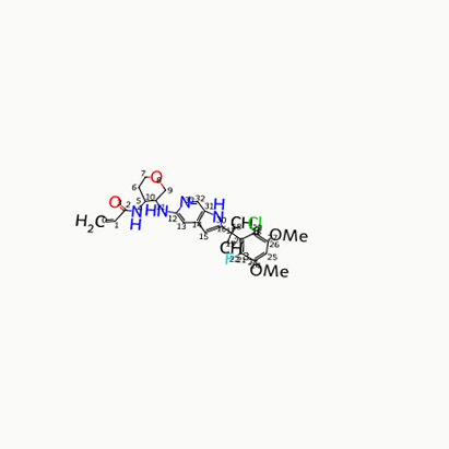 C=CC(=O)NC1CCOCC1Nc1cc2cc(C(C)(C)c3c(F)c(OC)cc(OC)c3Cl)[nH]c2cn1